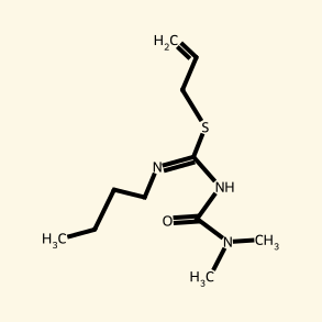 C=CCSC(=NCCCC)NC(=O)N(C)C